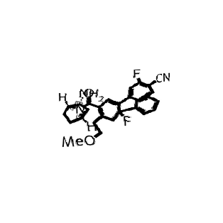 COCCC1=C(C(=O)N2[C@H]3CC[C@@H]2[C@H](N)C3)C=C(c2ccc(C#N)c(F)c2)C(F)(c2ccccc2)C1